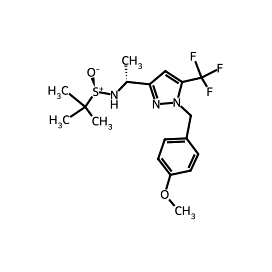 COc1ccc(Cn2nc([C@@H](C)N[S@+]([O-])C(C)(C)C)cc2C(F)(F)F)cc1